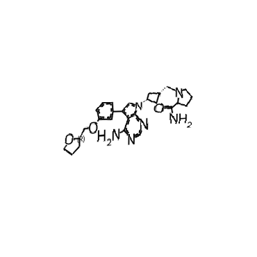 NC(=O)C1CCCN1C[C@H]1C[C@@H](n2cc(-c3cccc(OC[C@H]4CCCO4)c3)c3c(N)ncnc32)C1